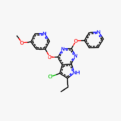 CCc1[nH]c2nc(Oc3cccnc3)nc(Oc3cncc(OC)c3)c2c1Cl